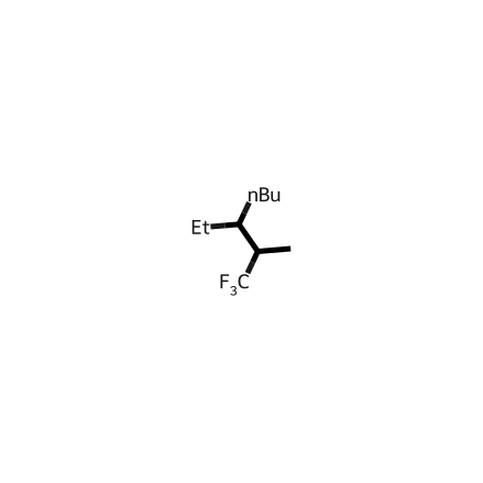 CCCCC(CC)C(C)C(F)(F)F